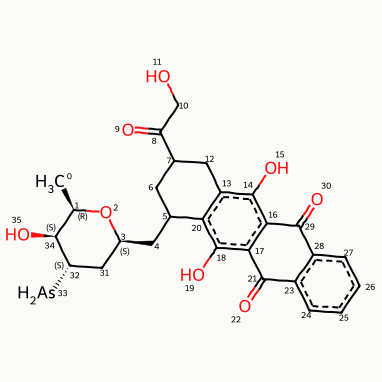 C[C@H]1O[C@@H](CC2CC(C(=O)CO)Cc3c(O)c4c(c(O)c32)C(=O)c2ccccc2C4=O)C[C@H]([AsH2])[C@H]1O